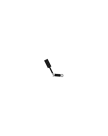 C#C[S+]=O